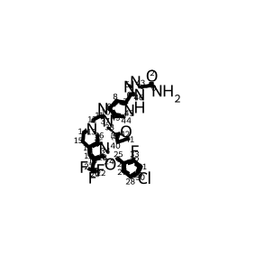 NC(=O)c1nnc(-c2cc3nc(CN4CCc5cc(C(F)(F)F)c(OCc6ccc(Cl)cc6F)nc5C4)n(C[C@@H]4CCO4)c3cn2)[nH]1